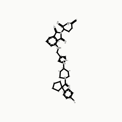 C=C1CCC(N2C(=O)c3cccc(NCc4cnn(C5CCN(C(=O)C6(c7ccc(F)cc7)CCCC6)CC5)c4)c3C2=O)C(=O)N1